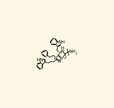 CC(C)(N)C(=O)N[C@H](Cc1c[nH]c2ccccc12)c1nnc(CCCc2c[nH]c3ccccc23)n1CCc1ccccc1